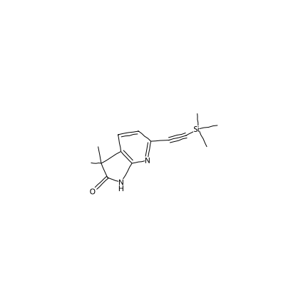 CC1(C)C(=O)Nc2nc(C#C[Si](C)(C)C)ccc21